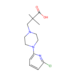 CC(C)(CN1CCN(c2cccc(Cl)n2)CC1)C(=O)O